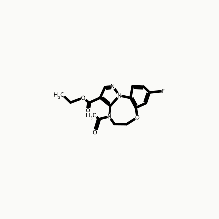 CCOC(=O)c1cnn2c1N(C(C)=O)CCOc1cc(F)ccc1-2